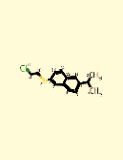 CC(C)c1ccc2cc(SCCCl)ccc2c1